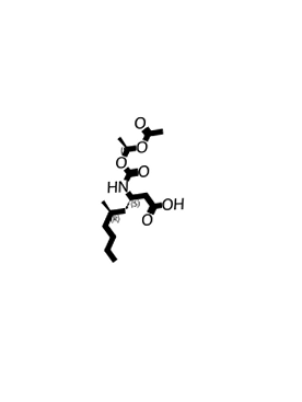 CCCC[C@@H](C)C[C@@H](CC(=O)O)NC(=O)O[C@@H](C)OC(C)=O